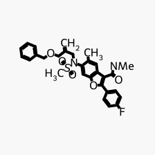 C=C(COCc1ccccc1)CN(c1cc2oc(-c3ccc(F)cc3)c(C(=O)NC)c2cc1C)S(C)(=O)=O